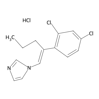 CCCC(=Cn1ccnc1)c1ccc(Cl)cc1Cl.Cl